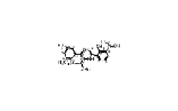 CCC[C@@H](N(NC(=O)c1cccc(B(O)O)c1C)C(=O)c1cc(C)cc(C)c1)C(C)(C)C